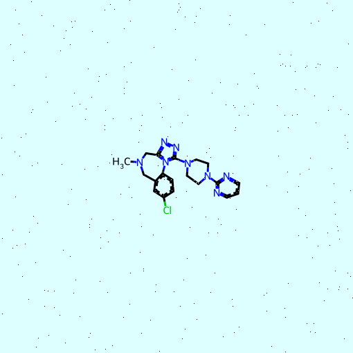 CN1Cc2cc(Cl)ccc2-n2c(nnc2N2CCN(c3ncccn3)CC2)C1